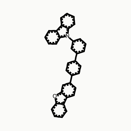 c1cc(-c2ccc(-c3ccc4c(c3)oc3ccccc34)cc2)cc(-n2c3ccccc3c3ccccc32)c1